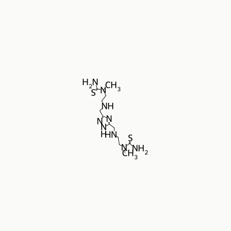 CN(CCNCc1n[nH]c(CNCCN(C)C(N)=S)n1)C(N)=S